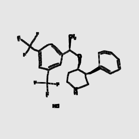 C[C@@H](O[C@@H]1CCNC[C@@H]1c1ccccc1)c1cc(C(F)(F)F)cc(C(F)(F)F)c1.Cl